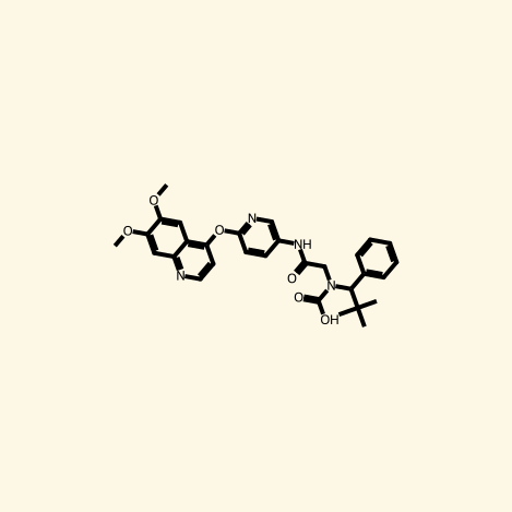 COc1cc2nccc(Oc3ccc(NC(=O)CN(C(=O)O)C(c4ccccc4)C(C)(C)C)cn3)c2cc1OC